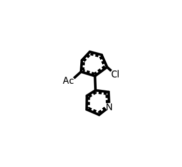 CC(=O)c1cccc(Cl)c1-c1cccnc1